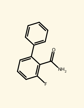 NC(=O)c1c(F)cccc1-c1ccccc1